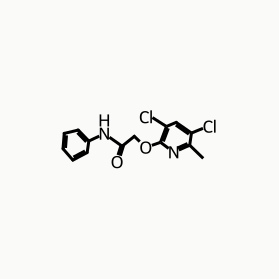 Cc1nc(OCC(=O)Nc2ccccc2)c(Cl)cc1Cl